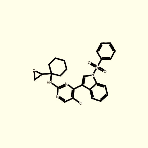 O=S(=O)(c1ccccc1)n1cc(-c2nc(NC3(C4CO4)CCCCC3)ncc2Cl)c2ccccc21